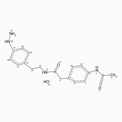 CC(=O)Nc1ccc(CC(=O)NCCc2ccc(NN)cc2)cc1.Cl